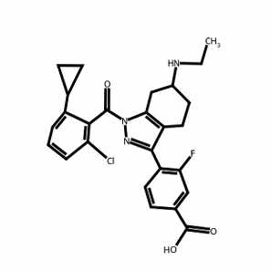 CCNC1CCc2c(-c3ccc(C(=O)O)cc3F)nn(C(=O)c3c(Cl)cccc3C3CC3)c2C1